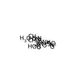 CC(C)(C)c1ccc(-n2ncc3c(NC(=O)c4ccc([N+](=O)[O-])s4)nc(N4CCCC4CO)nc32)cc1